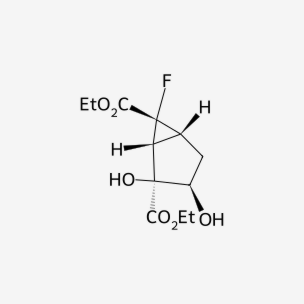 CCOC(=O)[C@@]1(O)[C@H](O)C[C@@H]2[C@H]1[C@@]2(F)C(=O)OCC